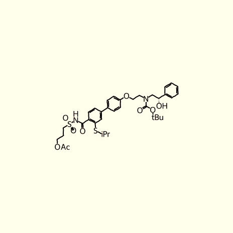 CC(=O)OCCCS(=O)(=O)NC(=O)c1ccc(-c2ccc(OCCN(C[C@@H](O)c3ccccc3)C(=O)OC(C)(C)C)cc2)cc1SC(C)C